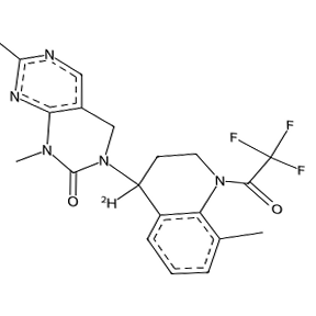 [2H]C1(N2Cc3cnc(SC)nc3N(C)C2=O)CCN(C(=O)C(F)(F)F)c2c(C)cccc21